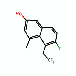 Cc1cc(O)cc2ccc(F)c(CC(F)(F)F)c12